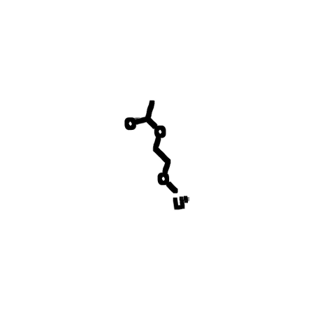 COCCOC(C)[O-].[Li+]